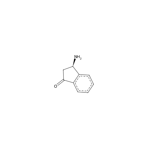 N[C@@H]1CC(=O)c2ccccc21